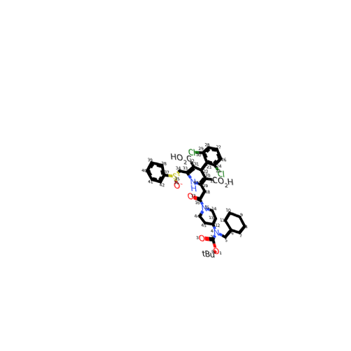 CC(C)(C)OC(=O)N(CC1CCCCC1)C1CCN(C(=O)CC2=C(C(=O)O)C(c3c(Cl)cccc3Cl)C(C(=O)O)=C(C[S+]([O-])c3ccccc3)N2)CC1